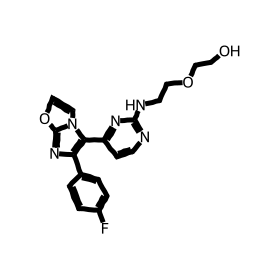 OCCOCCNc1nccc(-c2c(-c3ccc(F)cc3)nc3occn23)n1